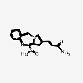 NC(=O)C=CC1=CN2C=c3ccccc3=NC(S(=O)O)=C2C1